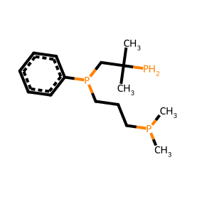 CP(C)CCCP(CC(C)(C)P)c1ccccc1